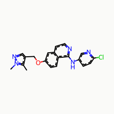 Cc1c(COc2ccc3c(Nc4ccc(Cl)nc4)nccc3c2)cnn1C